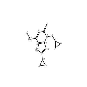 CCNc1nc(=S)n(CC2CC2)c2nc(C3CC3)[nH]c12